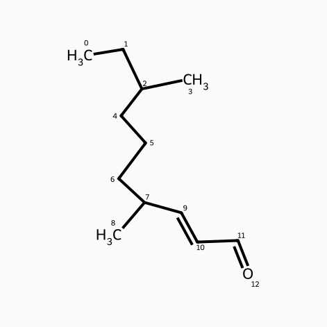 CCC(C)CCCC(C)C=CC=O